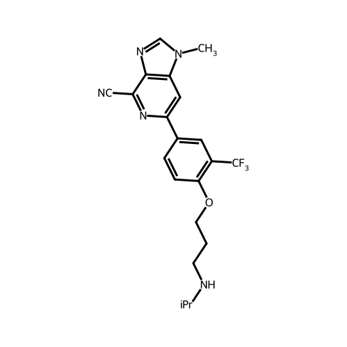 CC(C)NCCCOc1ccc(-c2cc3c(ncn3C)c(C#N)n2)cc1C(F)(F)F